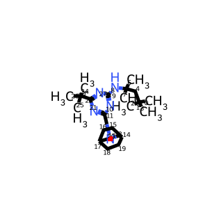 CC(C)(C)CC(C)(C)Nc1nc(N2CC3CCC(CC3)C2)nc(C(C)(C)C)n1